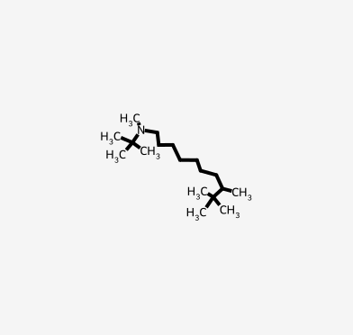 CC(CCCCCCCN(C)C(C)(C)C)C(C)(C)C